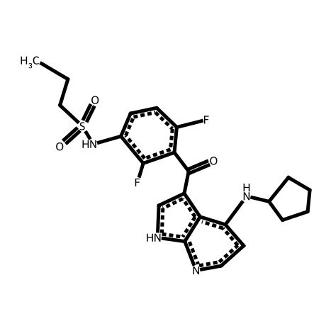 CCCS(=O)(=O)Nc1ccc(F)c(C(=O)c2c[nH]c3nccc(NC4CCCC4)c23)c1F